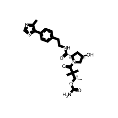 Cc1ncsc1-c1ccc(CCNC(=O)[C@@H]2C[C@@H](O)CN2C(=O)C(C)(C)[C@H](C)OC(N)=O)cc1